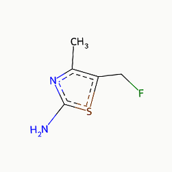 Cc1nc(N)sc1CF